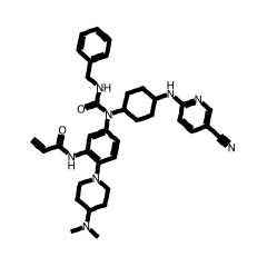 C=CC(=O)Nc1cc(N(C(=O)NCc2ccccc2)C2CCC(Nc3ccc(C#N)cn3)CC2)ccc1N1CCC(N(C)C)CC1